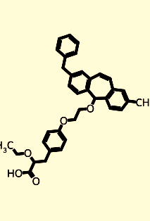 CCOC(Cc1ccc(OCCOC2c3ccc(C)cc3C=Cc3cc(Cc4ccccc4)ccc32)cc1)C(=O)O